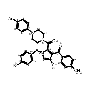 CC(=O)c1ccc(N2CCN(C(=O)c3c(C(=O)c4ccc(C)cc4)c(C)cn3Cc3ccc(Br)cc3)CC2)cc1